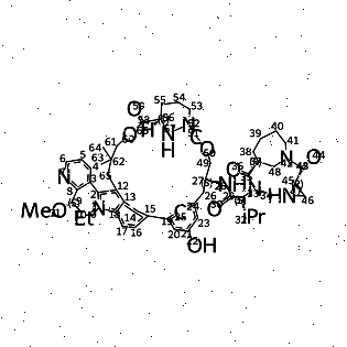 CCn1c(-c2cccnc2[C@H](C)OC)c2c3cc(ccc31)-c1cc(O)cc(c1)C[C@H](NC(=O)[C@H](C(C)C)N(C)C(=O)[C@H]1CCCCN(C(=O)[C@H]3CN3)C1)COCN1CCC[C@H](N1)C(=O)OCC(C)(C)C2